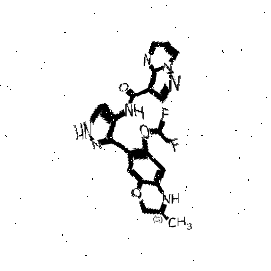 C[C@H]1COc2cc(-c3n[nH]cc3NC(=O)c3cnn4cccnc34)c(OC(F)F)cc2N1